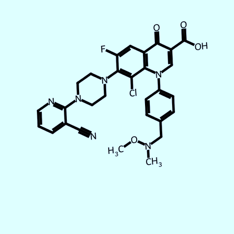 CON(C)Cc1ccc(-n2cc(C(=O)O)c(=O)c3cc(F)c(N4CCN(c5ncccc5C#N)CC4)c(Cl)c32)cc1